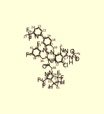 Cn1nc(NS(C)(=O)=O)c2c(Cl)ccc(N3Cc4ccc(-c5cccc(C(C)(F)F)n5)cc4N=C3[C@H](Cc3cc(F)cc(F)c3)NC(=O)Cn3nc(C(F)F)c4c3C(F)(F)[C@@H]3C[C@H]43)c21